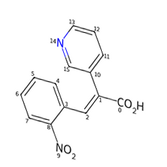 O=C(O)/C(=C/c1ccccc1[N+](=O)[O-])c1cccnc1